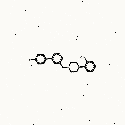 O=[N+]([O-])c1ccccc1N1CCN(Cc2cncc(-c3ccc(F)cc3)c2)CC1